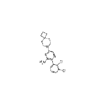 Nc1nc(N2CCC3(CCC3)CC2)cnc1-c1cccc(Cl)c1Cl